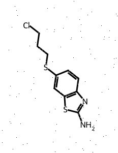 Nc1nc2ccc(SCCCCl)cc2s1